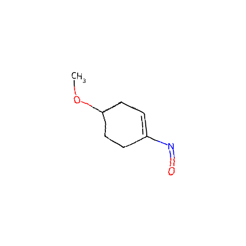 COC1CC=C(N=O)CC1